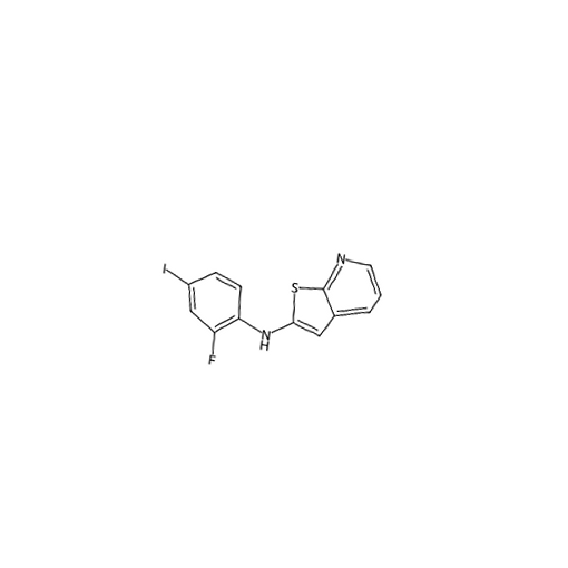 Fc1cc(I)ccc1Nc1cc2cccnc2s1